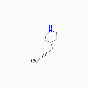 CC(C)(C)C#CCC1CCNCC1